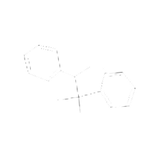 O=C(O)C(c1ccccc1)C(O)(C(=O)O)c1ccccc1